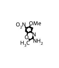 COc1cc2c(cc1[N+](=O)[O-])OC(C)C(N)=N2